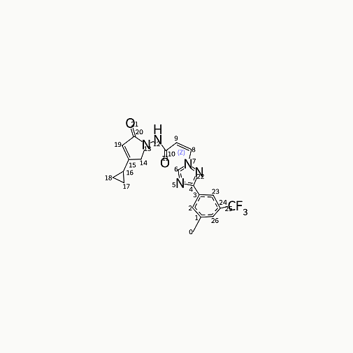 Cc1cc(-c2ncn(/C=C\C(=O)NN3CC(C4CC4)=CC3=O)n2)cc(C(F)(F)F)c1